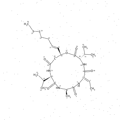 C/C=C1\NC(=O)[C@@H](C)NC(=O)[C@@H](C(C)C)NC(=O)C[C@@H](/C=C/CCSSC)OC(=O)[C@H](C(C)C)NC1=O